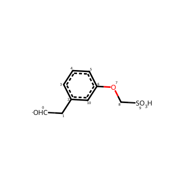 O=[C]Cc1cccc(OCS(=O)(=O)O)c1